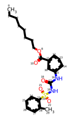 CCCCCCCCOC(=O)c1cccc(NC(=O)NS(=O)(=O)c2ccccc2C)c1